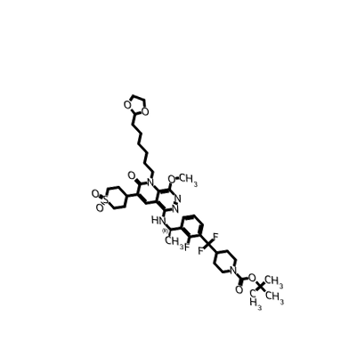 COc1nnc(N[C@H](C)c2cccc(C(F)(F)C3CCN(C(=O)OC(C)(C)C)CC3)c2F)c2cc(C3CCS(=O)(=O)CC3)c(=O)n(CCCCCCC3OCCO3)c12